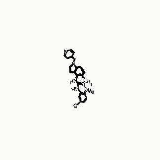 COc1ccc(Cl)cc1NC(=O)Nc1c(C)ccc2c1ccn2Cc1ccncc1